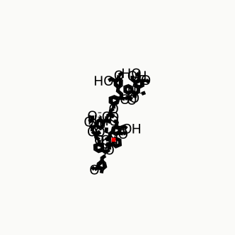 CC[C@H](C(=O)N1CCCCC1C(=O)O[C@H](CCc1ccc(C)c(OC)c1)c1cccc(OCC(=O)OC(C)c2ccc(C(C)OC(=O)COc3cccc(C(CCc4ccc(OC)c(CO)c4)OC(=O)[C@@H]4CCCCN4C(=O)[C@@H](CC)c4cc(CO)c(CO)c(OC)c4)c3)cc2[N+](=O)[O-])c1)c1cc(CO)c(CO)c(OC)c1